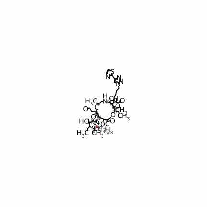 CCO[C@@H](O[C@H]1[C@@H](CC=O)C[C@@H](C)CN[C@H](C)[C@H]2N(CCCCn3cc(-c4nccs4)nn3)C(=O)O[C@]2(C)[C@@H](CC)OC(=O)[C@H](C)C(=O)[C@@H]1C)C(O)C(CC)N(C)C